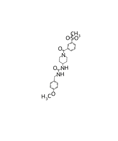 COc1ccc(CNC(=O)NC2CCN(C(=O)c3cccc(S(C)(=O)=O)c3)CC2)cc1